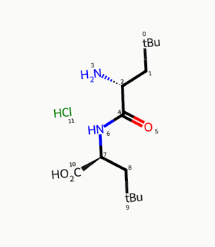 CC(C)(C)C[C@@H](N)C(=O)N[C@@H](CC(C)(C)C)C(=O)O.Cl